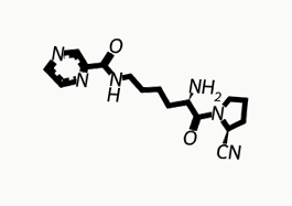 N#C[C@@H]1CCCN1C(=O)[C@@H](N)CCCCNC(=O)c1cnccn1